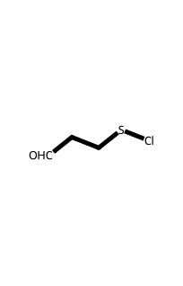 O=CCCSCl